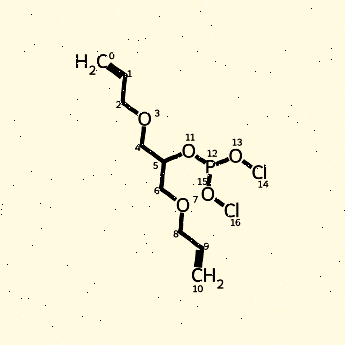 C=CCOCC(COCC=C)OP(OCl)OCl